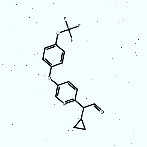 O=CC(c1ccc(Oc2ccc(OC(F)(F)F)cc2)cn1)C1CC1